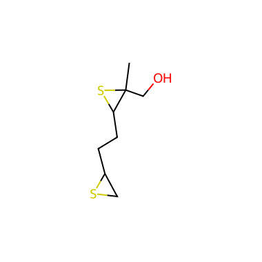 CC1(CO)SC1CCC1CS1